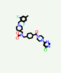 Cc1cc(F)c(CN2CCC3(CC2)CN(CC2CCC(C(=O)N4CCN(c5cc(Cl)ncn5)CC4)CC2)C(=O)O3)c(F)c1